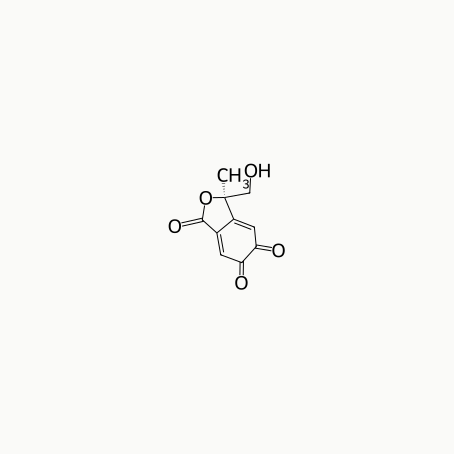 C[C@@]1(CO)OC(=O)C2=CC(=O)C(=O)C=C21